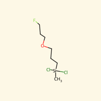 C[Si](Cl)(Cl)CCCOCCCF